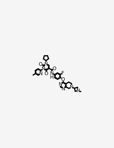 Cc1ccc(-n2c(=O)c(C(=O)Nc3ccc(Oc4ncnc5c4CCN(C4CN(C)C4)C5)c(F)c3)cn(C3CCCC3)c2=O)nc1